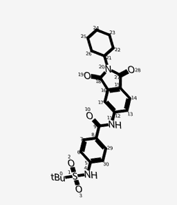 CC(C)(C)S(=O)(=O)Nc1ccc(C(=O)Nc2ccc3c(c2)C(=O)N(C2CCCCC2)C3=O)cc1